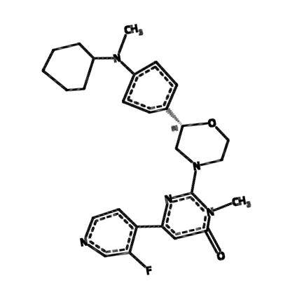 CN(c1ccc([C@H]2CN(c3nc(-c4ccncc4F)cc(=O)n3C)CCO2)cc1)C1CCCCC1